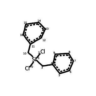 Cl[Si](Cl)(Cc1ccccc1)Cc1ccccc1